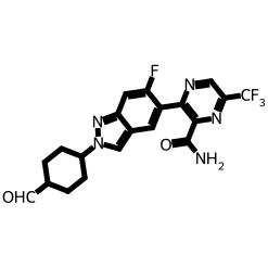 NC(=O)c1nc(C(F)(F)F)cnc1-c1cc2cn(C3CCC(C=O)CC3)nc2cc1F